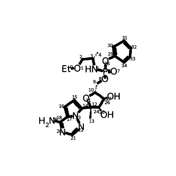 CCOC[C@H](C)NP(=O)(OC[C@H]1O[C@@](C)(c2ccc3c(N)ncnn23)[C@H](O)[C@@H]1O)Oc1ccccc1